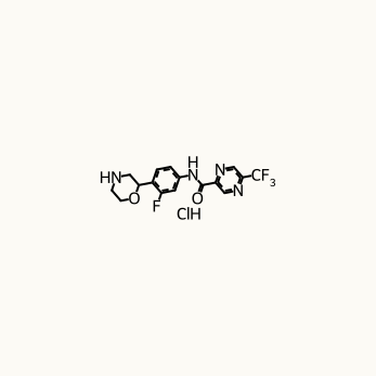 Cl.O=C(Nc1ccc(C2CNCCO2)c(F)c1)c1cnc(C(F)(F)F)cn1